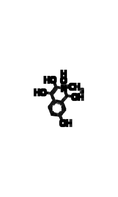 C[N+]1(O)C(O)=C(O)c2ccc(O)cc2C1O